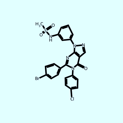 CS(=O)(=O)Nc1cccc(-n2ncc3c(=O)n(-c4ccc(Cl)cc4)c(-c4ccc(Br)cc4)nc32)c1